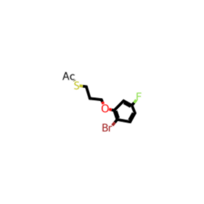 CC(=O)SCCCOc1cc(F)ccc1Br